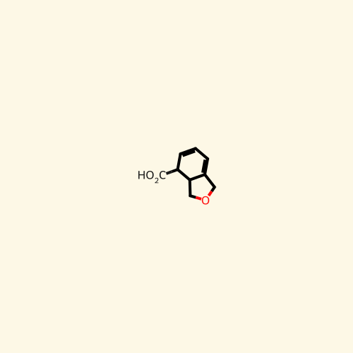 O=C(O)C1C=CC=C2COCC21